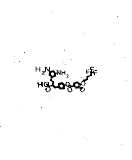 COc1cc(C(=O)Oc2ccc(/C=C(\CCc3cc(N)cc(N)c3)C(=O)O)cc2)ccc1OCCCCC(F)(F)F